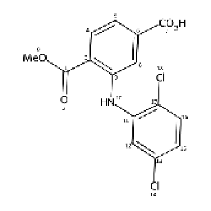 COC(=O)c1ccc(C(=O)O)cc1Nc1cc(Cl)ccc1Cl